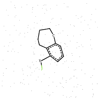 [F][Ti][c]1cccc2c1CCCCC2